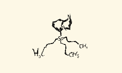 CCC[CH2][Sn]([CH2]CCC)([CH2]CCC)[c]1cccc2nccn12